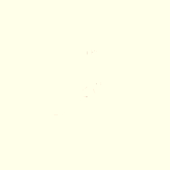 CCCC1CCCCC1CCCOc1ccc(C2CCC(C)CC2)cc1